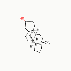 C[C@@]12CCC[C@H]1[C@@H]1CCC3CC(O)CC[C@@H]3[C@H]1CC2